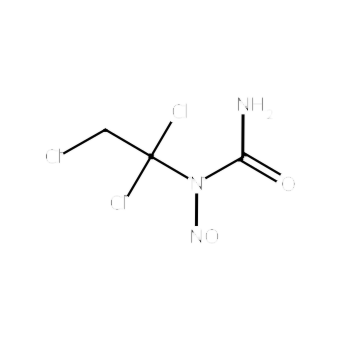 NC(=O)N(N=O)C(Cl)(Cl)CCl